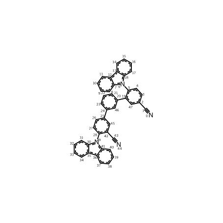 N#Cc1ccc(-n2c3ccccc3c3ccccc32)c(-c2cccc(-c3ccc(-n4c5ccccc5c5ccccc54)c(C#N)c3)c2)c1